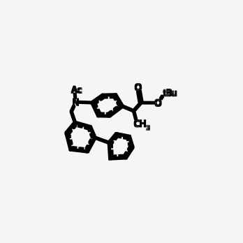 CC(=O)N(Cc1cccc(-c2ccccc2)c1)c1ccc(C(C)C(=O)OC(C)(C)C)cc1